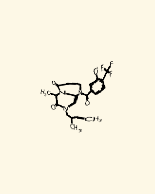 CCC(C)CN1CC2N(C(=O)c3ccc(C(F)(F)F)c(Cl)c3)CCC(=O)N2C(C)C1=O